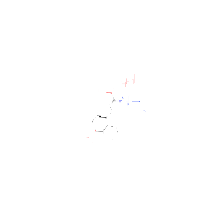 COC1CC=C(CC[C@H](N)C(=O)O)C2=C1CCCC2